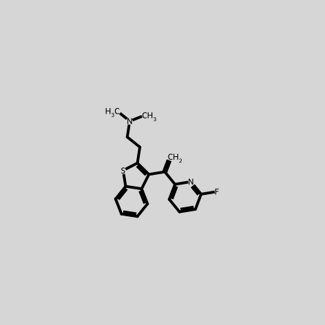 C=C(c1cccc(F)n1)c1c(CCN(C)C)sc2ccccc12